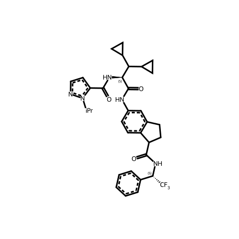 CC(C)n1nccc1C(=O)N[C@H](C(=O)Nc1ccc2c(c1)CCC2C(=O)N[C@@H](c1ccccc1)C(F)(F)F)C(C1CC1)C1CC1